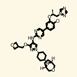 C[C@@H](Cn1cncn1)Oc1cc(-c2cnc(Nc3cn([C@H]4CC[C@H](N5[C@@H]6CC[C@H]5COC6)CC4)nc3OCC3COC3)nc2)ccc1Cl